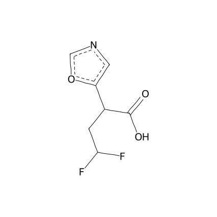 O=C(O)C(CC(F)F)c1cnco1